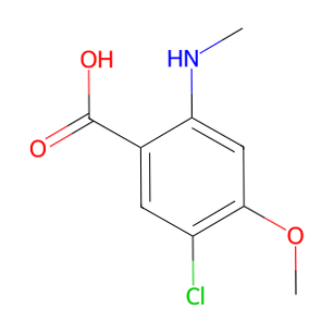 CNc1cc(OC)c(Cl)cc1C(=O)O